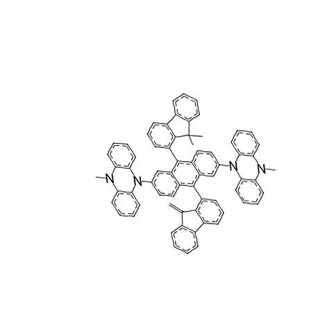 C=C1c2ccccc2-c2cccc(-c3c4cc(N5c6ccccc6N(C)c6ccccc65)ccc4c(-c4cccc5c4C(C)(C)c4ccccc4-5)c4cc(N5c6ccccc6N(C)c6ccccc65)ccc34)c21